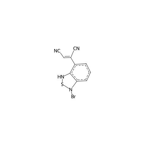 N#CC=C(C#N)c1cccc2c1NSN2Br